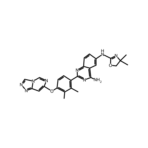 Cc1c(Oc2cc3nncn3cn2)ccc(-c2nc(N)c3cc(NC4=NC(C)(C)CO4)ccc3n2)c1C